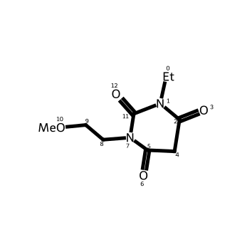 CCN1C(=O)CC(=O)N(CCOC)C1=O